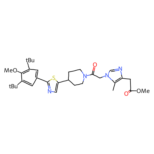 COC(=O)Cc1ncn(CC(=O)N2CCC(c3cnc(-c4cc(C(C)(C)C)c(OC)c(C(C)(C)C)c4)s3)CC2)c1C